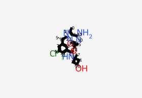 Cc1nc([C@@H](C)c2cc(Cl)c(F)c(C(=O)NC3(C)CC(O)C3)c2OC(C)C)n2ccnc(N)c12